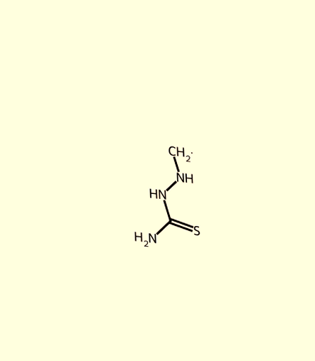 [CH2]NNC(N)=S